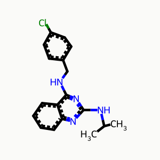 CC(C)Nc1nc(NCc2ccc(Cl)cc2)c2ccccc2n1